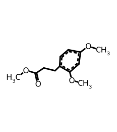 COC(=O)CCc1ccc(OC)cc1OC